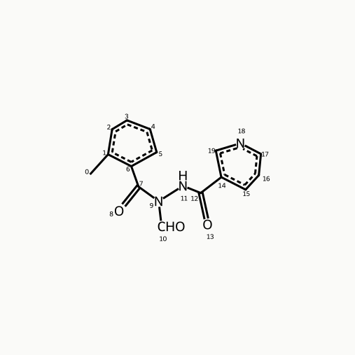 Cc1ccccc1C(=O)N(C=O)NC(=O)c1cccnc1